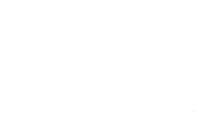 C=CCOC(=O)CCCCCCCC=CCCCC